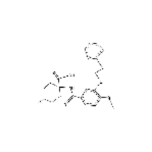 COc1ccc(C(=O)NC2(C(=O)O)CCC(C)CC2)cc1OCCc1ccccc1